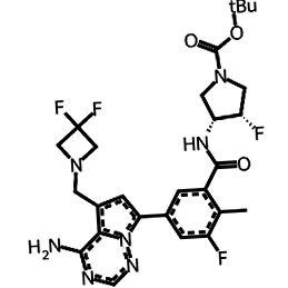 Cc1c(F)cc(-c2cc(CN3CC(F)(F)C3)c3c(N)ncnn23)cc1C(=O)N[C@@H]1CN(C(=O)OC(C)(C)C)C[C@@H]1F